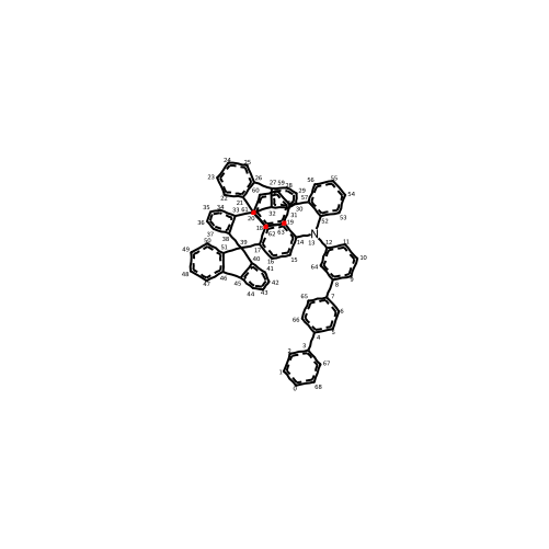 c1ccc(-c2ccc(-c3cccc(N(c4ccc5c(c4)C4(c6ccccc6-c6ccccc64)c4ccccc4C54c5ccccc5-c5ccccc54)c4ccccc4-c4ccccc4)c3)cc2)cc1